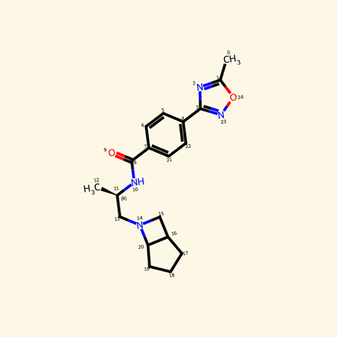 Cc1nc(-c2ccc(C(=O)N[C@H](C)CN3CC4CCCC43)cc2)no1